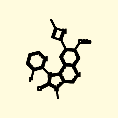 COc1cc2ncc3c(c2cc1C1=NC(C)=C1)n(-c1ncccc1F)c(=O)n3C